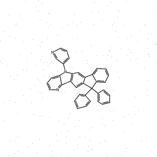 c1ccc(C2(c3ccccc3)c3ccccc3-c3cc4c(cc32)c2ncccc2n4-c2cccnc2)cc1